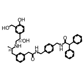 C[C@H](Cc1cccc(CC(=O)NCc2ccc(CNC(=O)C(c3ccccc3)c3ccccc3)cc2)c1)NC[C@@H](O)c1ccc(O)c(CO)c1